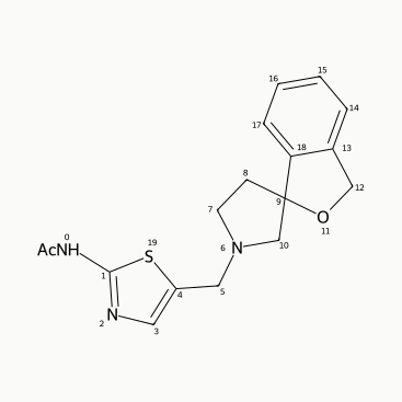 CC(=O)Nc1ncc(CN2CCC3(C2)OCc2ccccc23)s1